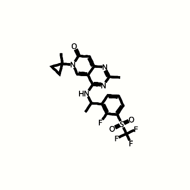 Cc1nc(NC(C)c2cccc(S(=O)(=O)C(F)(F)F)c2F)c2cn(C3(C)CC3)c(=O)cc2n1